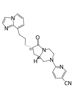 N#Cc1ccc(N2CCN3C(=O)[C@@H](CCCc4cccn5ccnc45)C[C@H]3C2)nc1